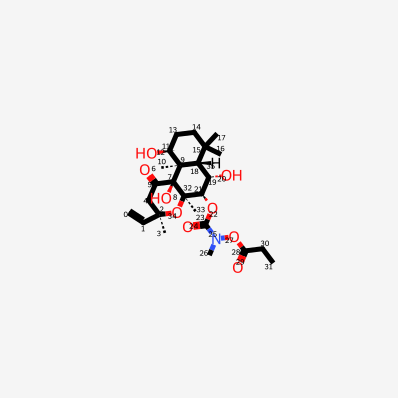 C=C[C@@]1(C)CC(=O)[C@]2(O)[C@@]3(C)[C@@H](O)CCC(C)(C)[C@@H]3[C@H](O)[C@H](OC(=O)N(C)OC(=O)CC)[C@@]2(C)O1